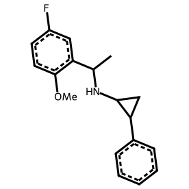 COc1ccc(F)cc1C(C)NC1CC1c1ccccc1